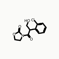 O=C1OCCN1C(=O)C(CO)c1ccccc1Cl